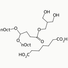 CCCCCCCCOC(CCC(=O)OCC(CO)CO)OCCCCCCCC.O=C(O)CCCCCC(=O)O